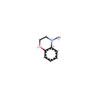 CC(C)N1CCOc2ccccc21